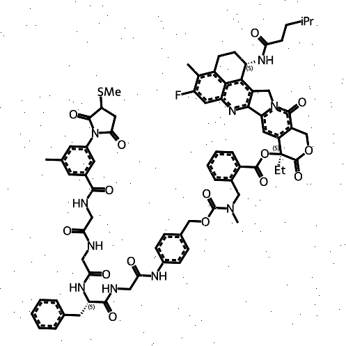 CC[C@@]1(OC(=O)c2ccccc2CN(C)C(=O)OCc2ccc(NC(=O)CNC(=O)[C@H](Cc3ccccc3)NC(=O)CNC(=O)CNC(=O)c3cc(C)cc(N4C(=O)CC(SC)C4=O)c3)cc2)C(=O)OCc2c1cc1n(c2=O)Cc2c-1nc1cc(F)c(C)c3c1c2[C@@H](NC(=O)CCC(C)C)CC3